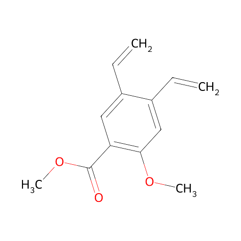 C=Cc1cc(OC)c(C(=O)OC)cc1C=C